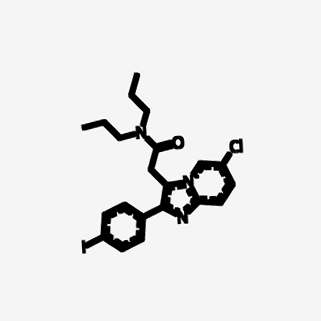 CCCN(CCC)C(=O)Cc1c(-c2ccc(I)cc2)nc2ccc(Cl)cn12